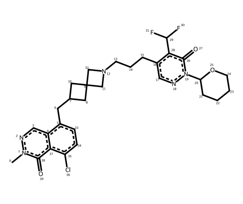 Cn1ncc2c(CC3CC4(C3)CN(CCCc3cnn(C5CCCCO5)c(=O)c3C(F)F)C4)ccc(Cl)c2c1=O